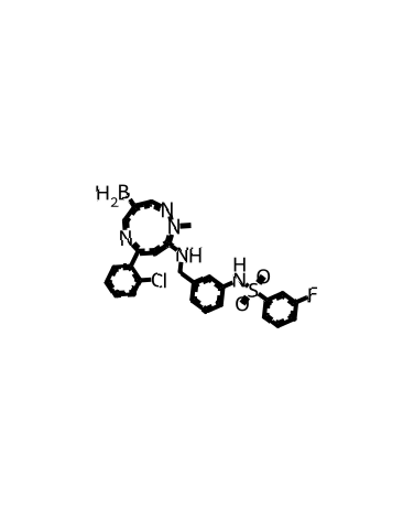 Bc1cnc(-c2ccccc2Cl)cc(NCc2cccc(NS(=O)(=O)c3cccc(F)c3)c2)n(C)nc1